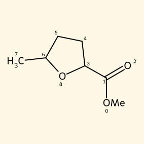 COC(=O)C1CCC(C)O1